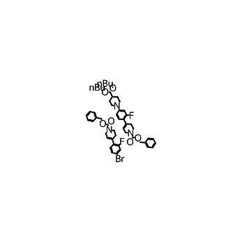 CCCCOC(OCCCC)C1CCN(c2ccc(C3=CCN(C(=O)OCc4ccccc4)CC3)c(F)c2)CC1.O=C(OCc1ccccc1)N1CC=C(c2ccc(Br)cc2F)CC1